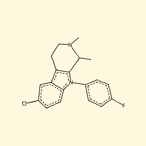 CC1c2c(c3cc(Cl)ccc3n2-c2ccc(F)cc2)CCN1C